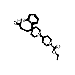 CCOC(=O)N1CCC(N2CCC3(CCC(=O)Nc4ccccc43)CC2)CC1